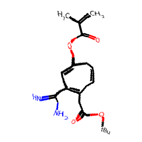 C=C(C)C(=O)Oc1ccc(C(=O)OC(C)(C)C)c(C(=N)N)c1